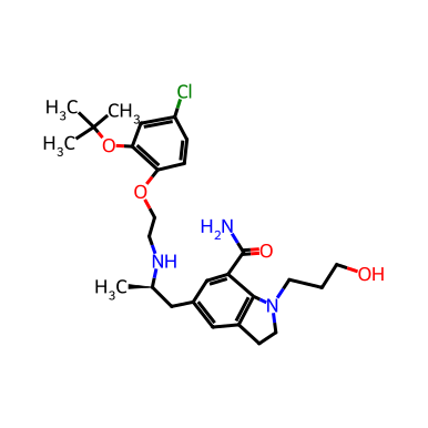 C[C@H](Cc1cc2c(c(C(N)=O)c1)N(CCCO)CC2)NCCOc1ccc(Cl)cc1OC(C)(C)C